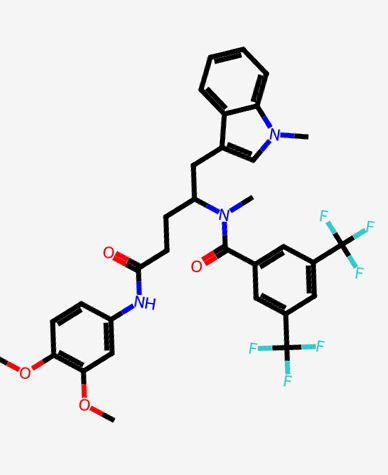 COc1ccc(NC(=O)CCC(Cc2cn(C)c3ccccc23)N(C)C(=O)c2cc(C(F)(F)F)cc(C(F)(F)F)c2)cc1OC